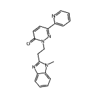 Cn1c(CCn2nc(-c3ccccn3)ccc2=O)nc2ccccc21